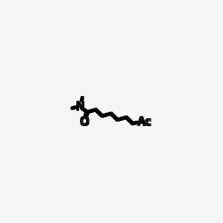 CC(=O)CCCCCCC(=O)N(C)C